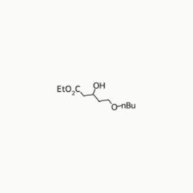 CCCCOCCC(O)CC(=O)OCC